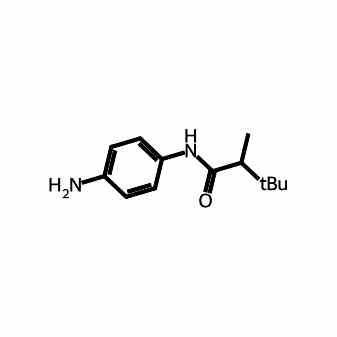 CC(C(=O)Nc1ccc(N)cc1)C(C)(C)C